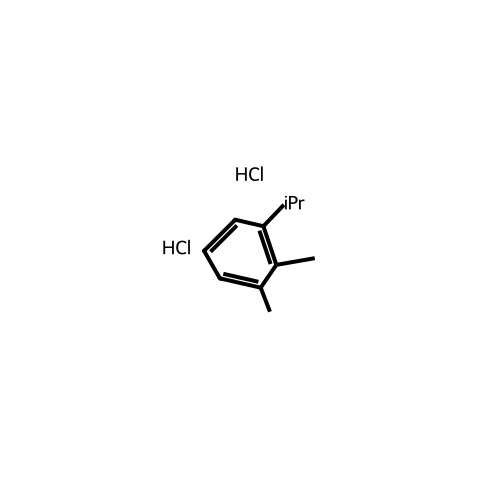 Cc1cccc(C(C)C)c1C.Cl.Cl